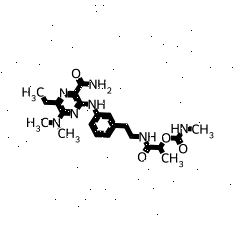 CCc1nc(C(N)=O)c(Nc2cccc(CCNC(=O)C(C)OC(=O)NC)c2)nc1N(C)C